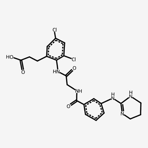 O=C(O)CCc1cc(Cl)cc(Cl)c1NC(=O)CNC(=O)c1cccc(NC2=NCCCN2)c1